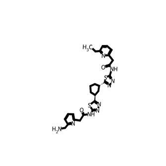 CCc1cccc(CC(=O)Nc2nnc([C@H]3CCC[C@H](c4nnc(NC(=O)Cc5cccc(CN)n5)s4)C3)s2)n1